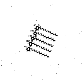 C/C=C/C=C/C/C=C/CCCCCCCc1cccc(O)c1O.C=CC/C=C/C/C=C/CCCCCCCc1cccc(O)c1O.CCC/C=C/C/C=C/CCCCCCCc1cccc(O)c1O.CCCCCC/C=C/CCCCCCCc1cccc(O)c1O.CCCCCCCCCCCCCCCc1cccc(O)c1O